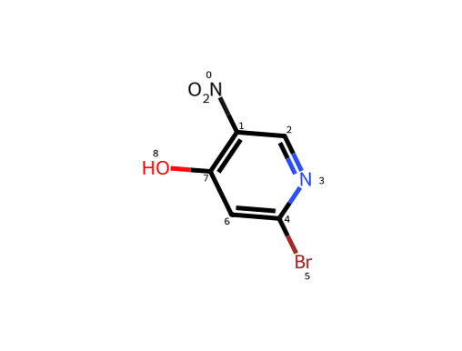 O=[N+]([O-])c1cnc(Br)cc1O